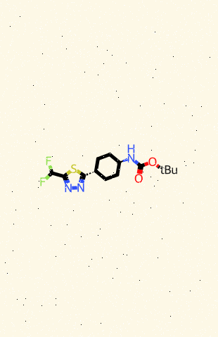 CC(C)(C)OC(=O)N[C@H]1CC[C@H](c2nnc(C(F)F)s2)CC1